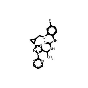 CC(NC(=O)Nc1ccc(F)cc1OCC1CC1)c1ncnn1-c1ncccn1